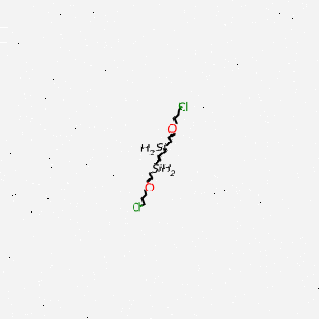 ClCCCCOC=CC[SiH2]CC=CC[SiH2]CC=COCCCCCl